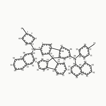 Cc1ccc(N(c2ccc3c(c2)C2(c4ccccc4-c4ccccc42)c2cc(N(c4ccc(C)cc4)c4cccc5ccccc45)ccc2-3)c2ccc3ccccc3c2)cc1